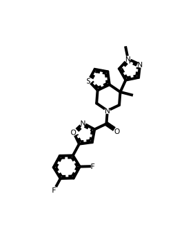 Cn1cc(C2(C)CN(C(=O)c3cc(-c4ccc(F)cc4F)on3)Cc3sccc32)cn1